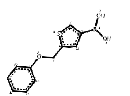 OB(O)c1csc(COc2ccccc2)c1